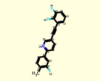 Cc1ccc(-c2ccc(C#Cc3cccc(F)c3F)cn2)cc1F